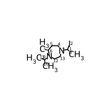 CC(I)N1CC[C@H](C)N(C(C)C)CC1